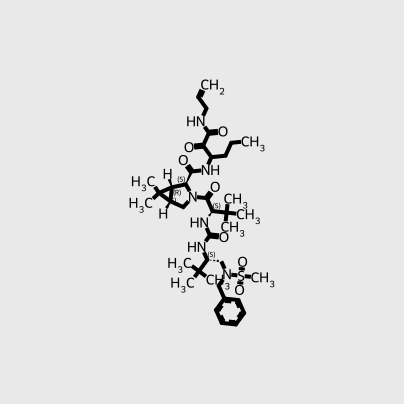 C=CCNC(=O)C(=O)C(CCC)NC(=O)[C@@H]1[C@@H]2[C@H](CN1C(=O)[C@@H](NC(=O)N[C@H](CN(Cc1ccccc1)S(C)(=O)=O)C(C)(C)C)C(C)(C)C)C2(C)C